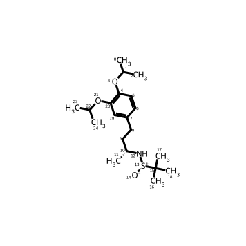 CC(C)Oc1ccc(CC[C@@H](C)N[S@+]([O-])C(C)(C)C)cc1OC(C)C